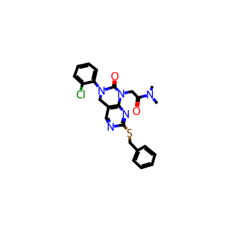 CN(C)C(=O)CN1C(=O)N(c2ccccc2Cl)Cc2cnc(SCc3ccccc3)nc21